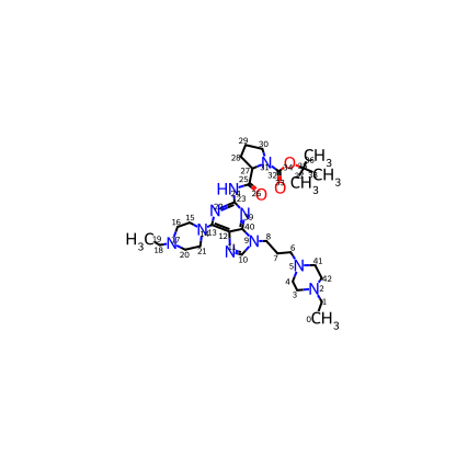 CCN1CCN(CCCn2cnc3c(N4CCN(CC)CC4)nc(NC(=O)C4CCCN4C(=O)OC(C)(C)C)nc32)CC1